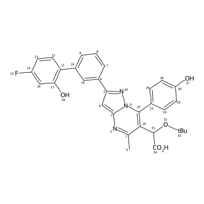 Cc1nc2cc(-c3cccc(-c4ccc(F)cc4O)c3)nn2c(-c2ccc(O)cc2)c1C(OC(C)(C)C)C(=O)O